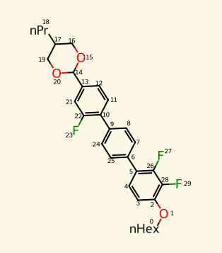 CCCCCCOc1ccc(-c2ccc(-c3ccc(C4OCC(CCC)CO4)cc3F)cc2)c(F)c1F